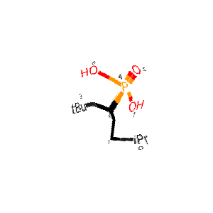 CC(C)CC(C(C)(C)C)P(=O)(O)O